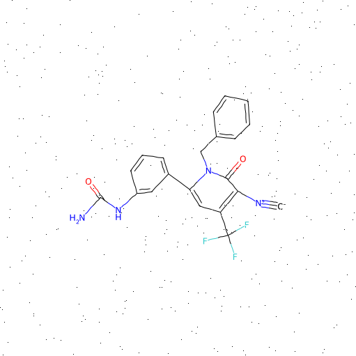 [C-]#[N+]c1c(C(F)(F)F)cc(-c2cccc(NC(N)=O)c2)n(Cc2ccccc2)c1=O